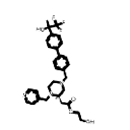 CC(O)(c1ccc(-c2ccc(CN3CCN(Cc4ccncc4)[C@H](CC(=O)OCCO)C3)cc2)cc1)C(F)(F)F